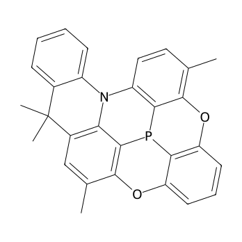 Cc1ccc2c3c1Oc1cccc4c1P3c1c(c(C)cc3c1N2c1ccccc1C3(C)C)O4